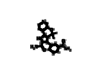 CC1(C)Oc2cnccc2-c2[nH]c(C(N)=O)c(-c3cccc([S+](N)[O-])c3)c21